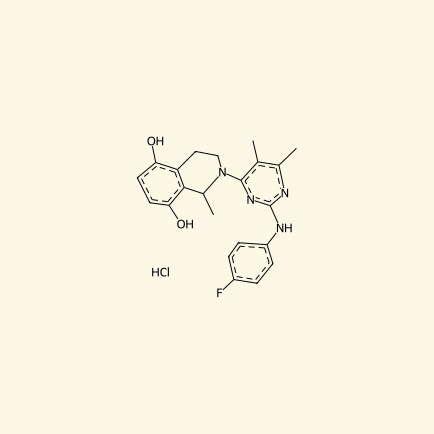 Cc1nc(Nc2ccc(F)cc2)nc(N2CCc3c(O)ccc(O)c3C2C)c1C.Cl